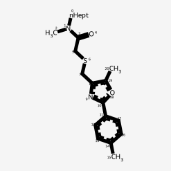 CCCCCCCN(C)C(=O)CSCc1nc(-c2ccc(C)cc2)oc1C